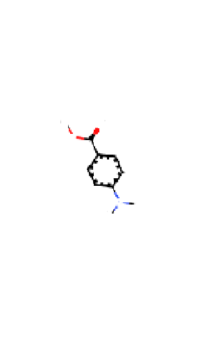 CC(C)OC(=O)c1ccc(N(C)C)cc1